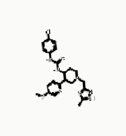 COc1ccc(C2CN(Cc3n[nH]c(C)n3)CCC2NC(=O)Nc2ccc(Cl)cc2)nc1